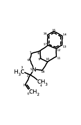 C=CC(C)(C)N1CCC2CC(Cc3ccccc32)C1